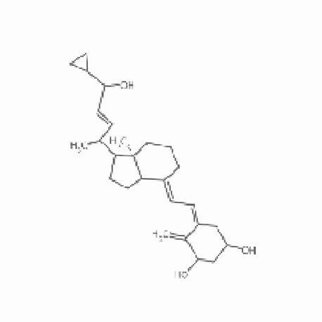 C=C1/C(=C\C=C2/CCC[C@@]3(C)C2CCC3[C@@H](C)/C=C/C(O)C2CC2)CC(O)CC1O